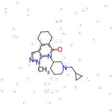 Cn1ncc2c3c(c(=O)n(C4CCCN(CC5CC5)C4)c21)CCCC3